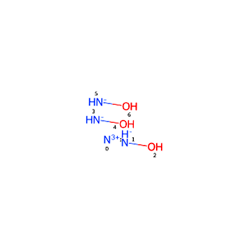 [N+3].[NH-]O.[NH-]O.[NH-]O